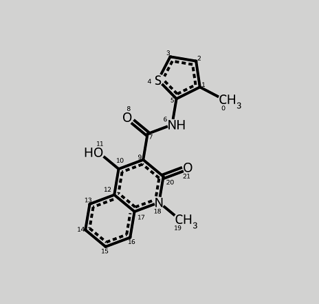 Cc1ccsc1NC(=O)c1c(O)c2ccccc2n(C)c1=O